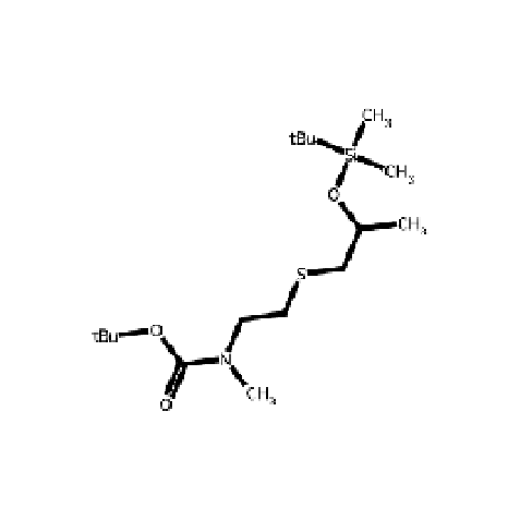 CC(CSCCN(C)C(=O)OC(C)(C)C)O[Si](C)(C)C(C)(C)C